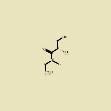 N[C@@H](CO)C(=O)N(I)CC(=O)O